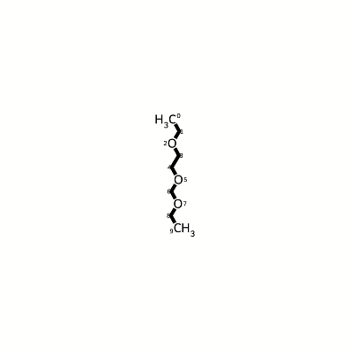 CCOCCOCOCC